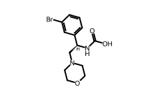 O=C(O)N[C@@H](CN1CCOCC1)c1cccc(Br)c1